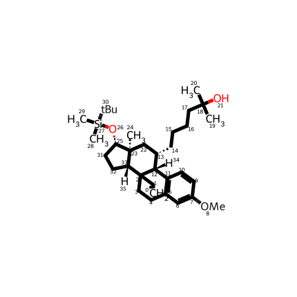 C=CC12CCc3cc(OC)ccc3[C@H]1[C@@H](CCCCC(C)(C)O)C[C@]1(C)[C@@H](O[Si](C)(C)C(C)(C)C)CC[C@@H]21